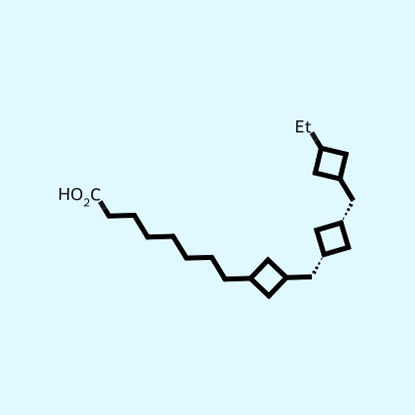 CCC1CC(C[C@H]2C[C@@H](CC3CC(CCCCCCCC(=O)O)C3)C2)C1